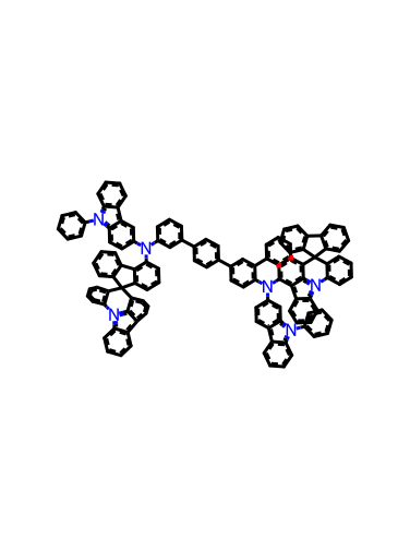 c1ccc(-c2cc(-c3ccc(-c4cccc(N(c5ccc6c(c5)c5ccccc5n6-c5ccccc5)c5cccc6c5-c5ccccc5C65c6ccccc6-n6c7ccccc7c7cccc5c76)c4)cc3)ccc2N(c2ccc3c4ccccc4n(-c4ccccc4)c3c2)c2ccc3c4c2c2ccccc2n4-c2ccccc2C32c3ccccc3-c3ccccc32)cc1